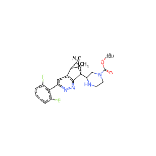 CC(C)(C)OC(=O)N1CCNC(C23CCC(c4cc(-c5c(F)cccc5F)nnc42)C3(C)C)C1